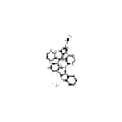 Cn1c2ccccc2c2c1c1cccc3c1n2-c1ccccc1C31c2ccccc2-c2cc(C#N)ccc21